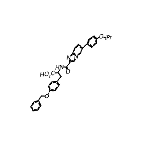 CC(C)Oc1ccc(-c2ccc3nc(C(=O)NC(Cc4ccc(OCc5ccccc5)cc4)C(=O)O)cn3c2)cc1